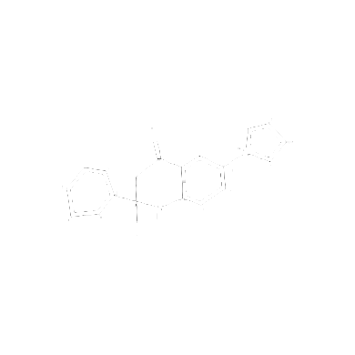 O=C1CC(F)(c2ccccc2)Nc2ccc(-n3cccc3)cc21